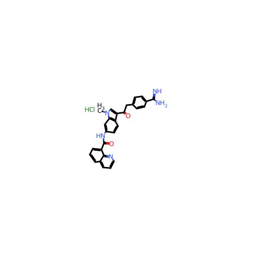 Cl.Cn1cc(C(=O)Cc2ccc(C(=N)N)cc2)c2ccc(NC(=O)c3cccc4cccnc34)cc21